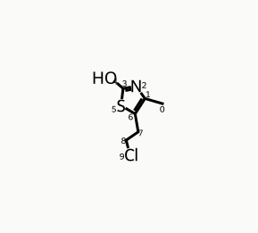 Cc1nc(O)sc1CCCl